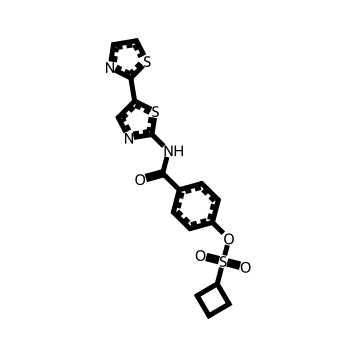 O=C(Nc1ncc(-c2nccs2)s1)c1ccc(OS(=O)(=O)C2CCC2)cc1